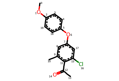 COc1ccc(Oc2cc(C)c(C(C)=O)c(Cl)c2)cc1